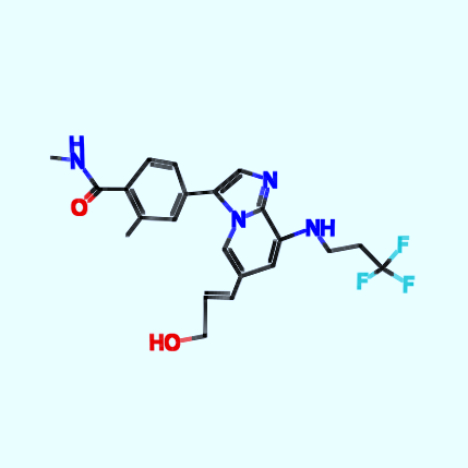 CNC(=O)c1ccc(-c2cnc3c(NCCC(F)(F)F)cc(C=CCO)cn23)cc1C